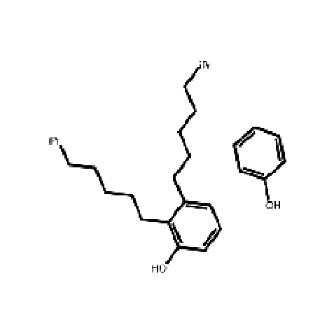 CC(C)CCCCCc1cccc(O)c1CCCCCC(C)C.Oc1ccccc1